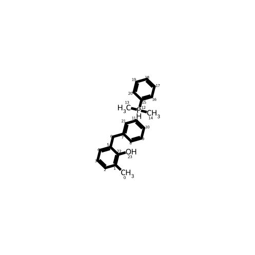 Cc1cccc(Cc2cccc([PH](C)(C)c3ccccc3)c2)c1O